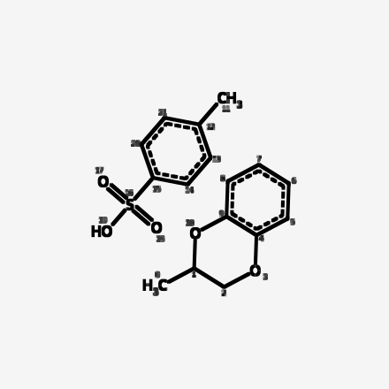 CC1COc2ccccc2O1.Cc1ccc(S(=O)(=O)O)cc1